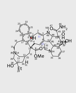 C#C/C=C1\C(=C/C[C@@]2(C(=O)OC)C[C@@H]3C[N@](CCc4c2[nH]c2ccccc42)CC(O)(CC)C3)[C@]23CCN4CC=C[C@](CC)(C42)[C@@H](O)[C@](O)(C(N)=O)C3N1C